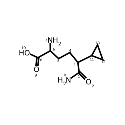 NC(=O)C(CCC(N)C(=O)O)C1CC1